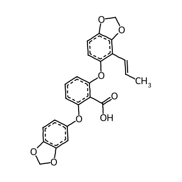 CC=Cc1c(Oc2cccc(Oc3ccc4c(c3)OCO4)c2C(=O)O)ccc2c1OCO2